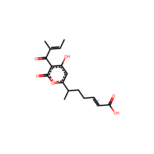 CC=C(C)C(=O)c1c(O)cc(C(C)CC/C=C/C(=O)O)oc1=O